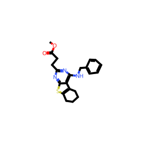 COC(=O)CCc1nc(NCc2ccccc2)c2c3c(sc2n1)CCCC3